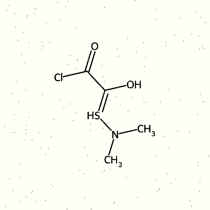 CN(C)[SH]=C(O)C(=O)Cl